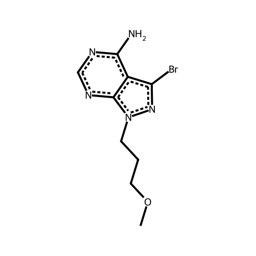 COCCCn1nc(Br)c2c(N)ncnc21